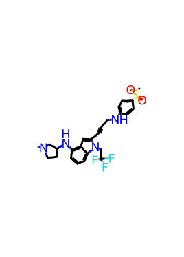 CN1CCC(Nc2cccc3c2cc(C#CCNc2ccc(S(C)(=O)=O)cc2)n3CC(F)(F)F)C1